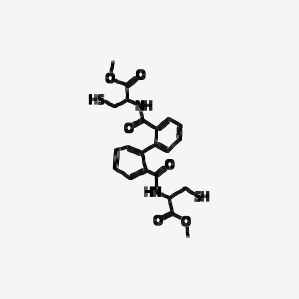 COC(=O)C(CS)NC(=O)c1ccccc1-c1ccccc1C(=O)NC(CS)C(=O)OC